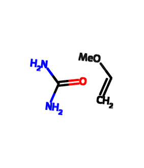 C=COC.NC(N)=O